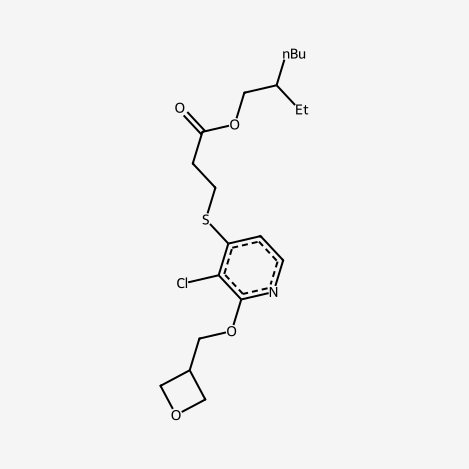 CCCCC(CC)COC(=O)CCSc1ccnc(OCC2COC2)c1Cl